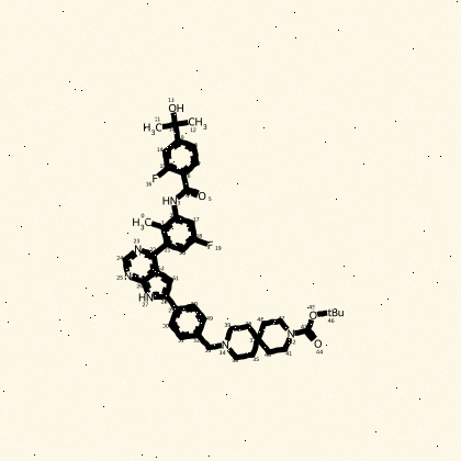 Cc1c(NC(=O)c2ccc(C(C)(C)O)cc2F)cc(F)cc1-c1ncnc2[nH]c(-c3ccc(CN4CCC5(CC4)CCN(C(=O)OC(C)(C)C)CC5)cc3)cc12